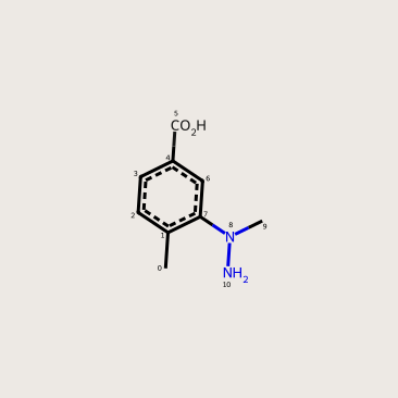 Cc1ccc(C(=O)O)cc1N(C)N